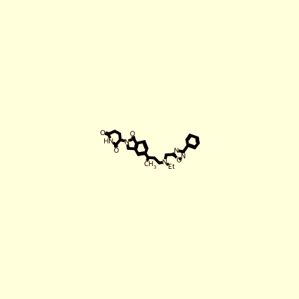 CCN(CCC(C)c1ccc2c(c1)CN(C1CCC(=O)NC1=O)C2=O)Cc1nc(-c2ccccc2)no1